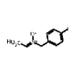 O=C(O)C=[N+]([O-])Cc1ccc(I)cc1